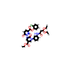 CCOC(=O)c1ccc(=O)n(-c2cccc(NC(=O)CC(OCC)OCC)c2)c1.O=C(Oc1ccccc1F)c1ccc(=O)[nH]n1